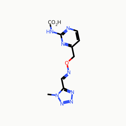 Cn1nnnc1C=NOCc1ccnc(NC(=O)O)n1